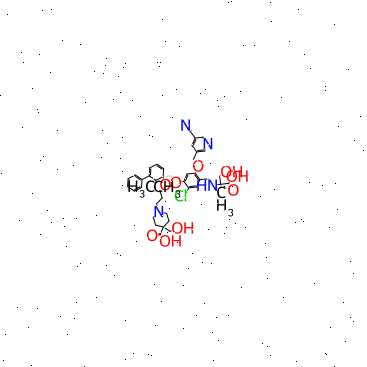 CC(CO)(NCc1cc(Cl)c(OC[C@@]2(OCCCN3CCC(CO)(C(=O)O)CC3)C=CC=C(c3ccccc3)C2(C)C)cc1OCc1cncc(C#N)c1)C(=O)O